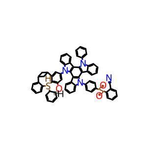 N#Cc1ccccc1S(=O)(=O)c1ccc(-n2c3ccccc3c3c2c2c4ccccc4n(-c4ccccc4)c2c2c4ccccc4n(-c4cc5c6c(c4)C4CC(C4)c4ccccc4[SH]6C4C=CC=C[C@@H]4O5)c23)cc1